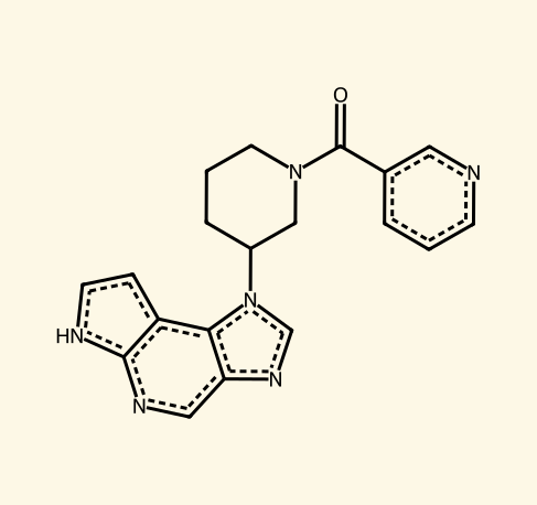 O=C(c1cccnc1)N1CCCC(n2cnc3cnc4[nH]ccc4c32)C1